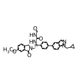 COc1ccc2c(c1)C(=O)N(C[C@H](NC(=O)NC=O)c1ccc(-c3ccc4c(cnn4CC4CC4)c3)cc1)C2